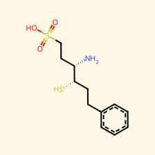 N[C@@H](CCS(=O)(=O)O)[C@@H](S)CCc1ccccc1